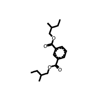 CCC(C)COC(=O)c1cccc(C(=O)OCC(C)CC)c1